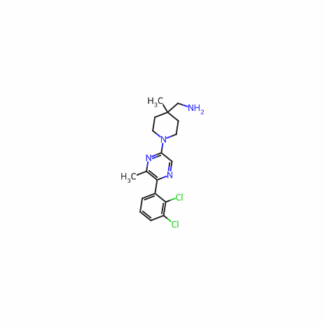 Cc1nc(N2CCC(C)(CN)CC2)cnc1-c1cccc(Cl)c1Cl